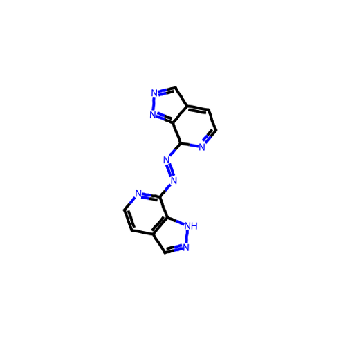 C1=NN=C2C1=CC=NC2N=Nc1nccc2cn[nH]c12